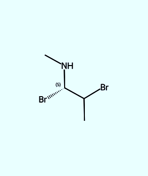 CN[C@@H](Br)C(C)Br